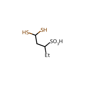 CCC(CC(S)S)S(=O)(=O)O